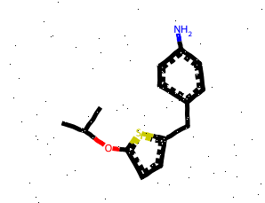 CC(C)Oc1ccc(Cc2ccc(N)cc2)s1